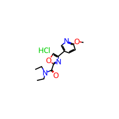 CCN(CC)C(=O)c1nc(-c2ccc(OC)nc2)co1.Cl